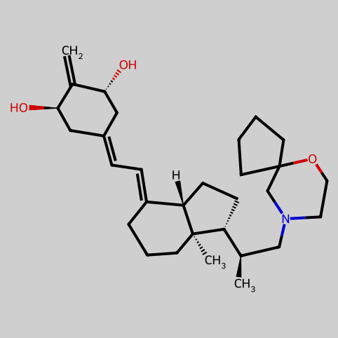 C=C1[C@H](O)CC(=C/C=C2\CCC[C@]3(C)[C@@H]([C@H](C)CN4CCOC5(CCCC5)C4)CC[C@@H]23)C[C@H]1O